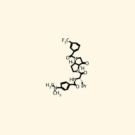 CC(C)C[C@H](NC(=O)c1ccc(N(C)C)cc1)C(=O)N1CC[C@@H]2[C@H]1C(=O)CN2C(=O)c1cccc(C(F)(F)F)c1